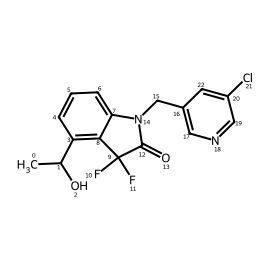 CC(O)c1cccc2c1C(F)(F)C(=O)N2Cc1cncc(Cl)c1